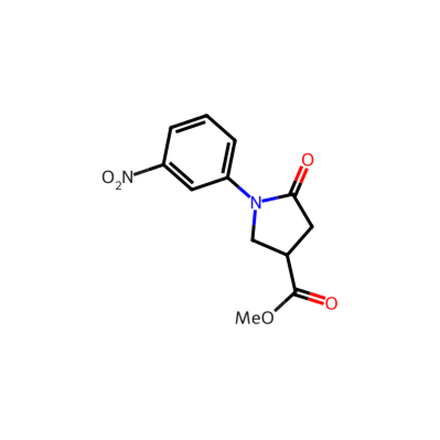 COC(=O)C1CC(=O)N(c2cccc([N+](=O)[O-])c2)C1